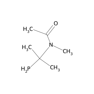 CC(=O)N(C)C(C)(C)P